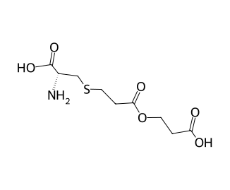 N[C@@H](CSCCC(=O)OCCC(=O)O)C(=O)O